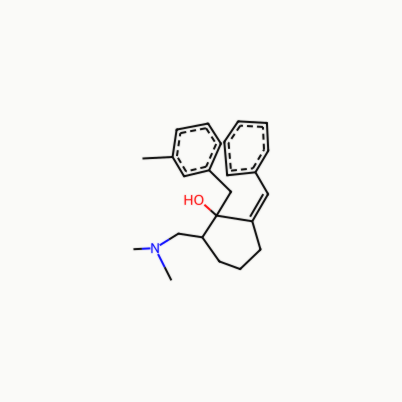 Cc1cccc(CC2(O)/C(=C\c3ccccc3)CCCC2CN(C)C)c1